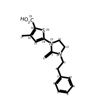 C=C1N(CCc2ccccc2)CCN1c1cc(C)c(C(=O)O)s1